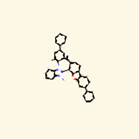 C=Cc1ccc2c(oc3cc(-c4ccccc4)ccc32)c1-c1n(-c2c(C(C)C)cc(-c3ccccc3)cc2C(C)C)c2ccccc2[n+]1C